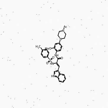 COc1cc(N2CCN(C(C)=O)CC2)ccc1NC(=O)C(=Cc1c[nH]c2ccccc12)NS(=O)(=O)c1ccc(C)cc1